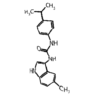 Cc1ccc2[nH]cc(NC(=O)Nc3ccc(C(C)C)cc3)c2c1